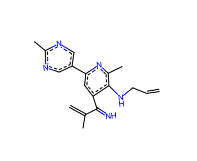 C=CCNc1c(C(=N)C(=C)C)cc(-c2cnc(C)nc2)nc1C